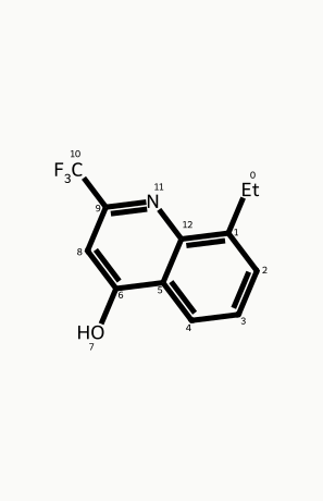 CCc1cccc2c(O)cc(C(F)(F)F)nc12